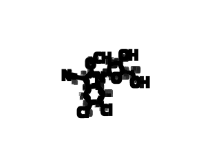 COc1c(C#N)c2cc(Cl)c(Cl)cc2n1[C@H]1C[C@H](O)[C@@H](CO)O1